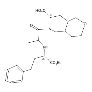 CCOC(=O)[C@H](CCc1ccccc1)NC(C)C(=O)N1CC2CCOCC2C[C@H]1C(=O)O